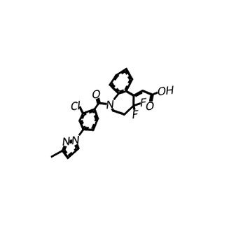 Cc1ccn(-c2ccc(C(=O)N3CCC(F)(F)C(=CC(=O)O)c4ccccc43)c(Cl)c2)n1